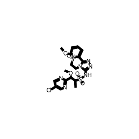 COc1cccc(-c2nnc(NS(=O)(=O)C(C)C(OC)c3ncc(Cl)cn3)n2CC[S@+](C)[O-])n1